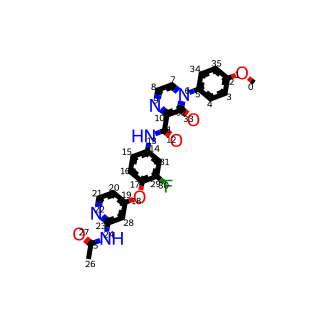 COc1ccc(-n2ccnc(C(=O)Nc3ccc(Oc4ccnc(NC(C)=O)c4)c(F)c3)c2=O)cc1